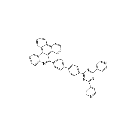 c1ccc2c(c1)nc(-c1ccc(-c3ccc(-c4nc(-c5ccncc5)nc(-c5ccncc5)n4)cc3)cc1)c1c3ccccc3c3ccccc3c21